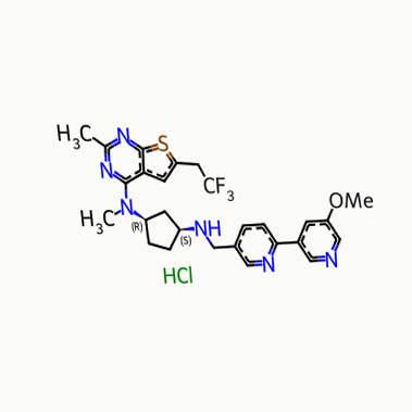 COc1cncc(-c2ccc(CN[C@H]3CC[C@@H](N(C)c4nc(C)nc5sc(CC(F)(F)F)cc45)C3)cn2)c1.Cl